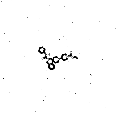 CCOC(=O)N1CCC(N2CCC3(CC2)CN(C(=O)NC2=CCCC=C2)Cc2ccccc23)CC1